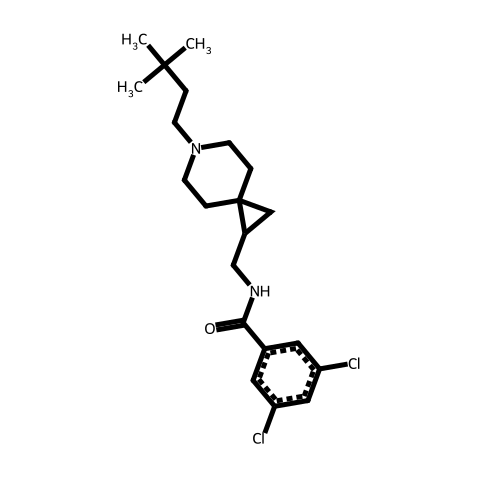 CC(C)(C)CCN1CCC2(CC1)CC2CNC(=O)c1cc(Cl)cc(Cl)c1